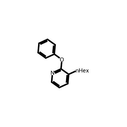 [CH2]CCCCCc1cccnc1Oc1ccccc1